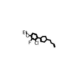 C=CCCC1CC=C(c2ccc(OCC)c(F)c2Cl)CC1